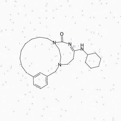 O=C1/N=C(/NC2CCCCC2)CCN2CCN1CCCCCCCCc1cccc(c1)C2